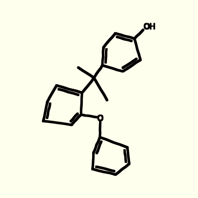 CC(C)(c1ccc(O)cc1)c1ccccc1Oc1ccccc1